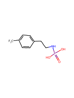 O=P(O)(O)NCCc1ccc(C(F)(F)F)cc1